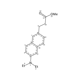 CCN(CC)c1ccc2cc(CCC(=O)OC)ccc2c1